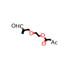 C=C(C=O)COCCOC(=O)CC(C)=O